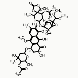 COc1c2c(c(O)c3c(O[C@]4(OC5CC(OC(C)=O)C6(OC(=O)O[C@H]6C)C(C)O5)[C@@H]5CC6(OC6(C(OC)OC)O5)[C@]45CO5)c(C)c(C)cc13)C(=O)[C@@H](O)C[C@@H]2OC1CC(C)(O)C(OC(C)=O)C(C)O1